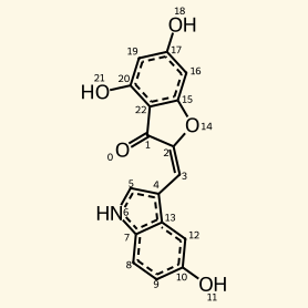 O=C1C(=Cc2c[nH]c3ccc(O)cc23)Oc2cc(O)cc(O)c21